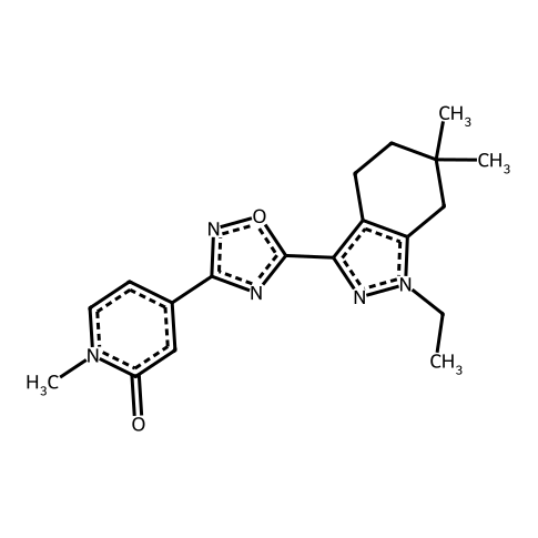 CCn1nc(-c2nc(-c3ccn(C)c(=O)c3)no2)c2c1CC(C)(C)CC2